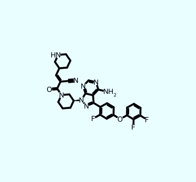 N#C/C(=C\C1CCCNC1)C(=O)N1CCC[C@H](n2nc(-c3ccc(Oc4cccc(F)c4F)cc3F)c3c(N)ncnc32)C1